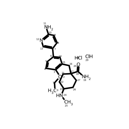 CCOc1ccc(-c2ccc(N)nc2)cc1CC1(C(N)=O)CCC(NC)CC1.Cl.Cl